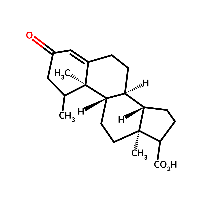 CC1CC(=O)C=C2CC[C@H]3[C@@H]4CCC(C(=O)O)[C@@]4(C)CC[C@@H]3[C@]21C